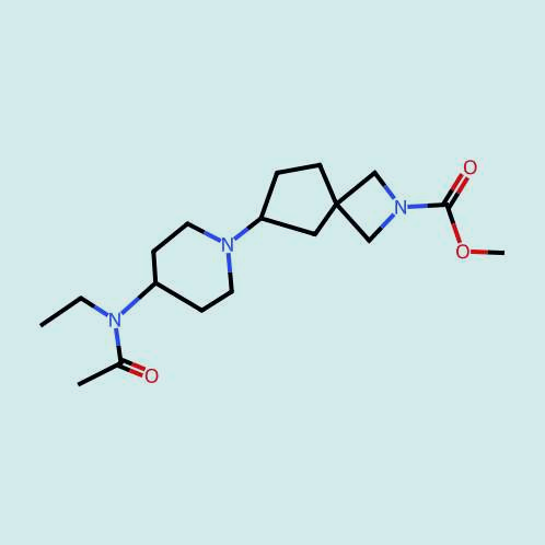 CCN(C(C)=O)C1CCN(C2CCC3(C2)CN(C(=O)OC)C3)CC1